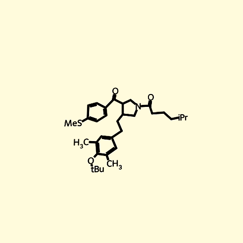 CSc1ccc(C(=O)C2CN(C(=O)CCCC(C)C)CC2CCc2cc(C)c(OC(C)(C)C)c(C)c2)cc1